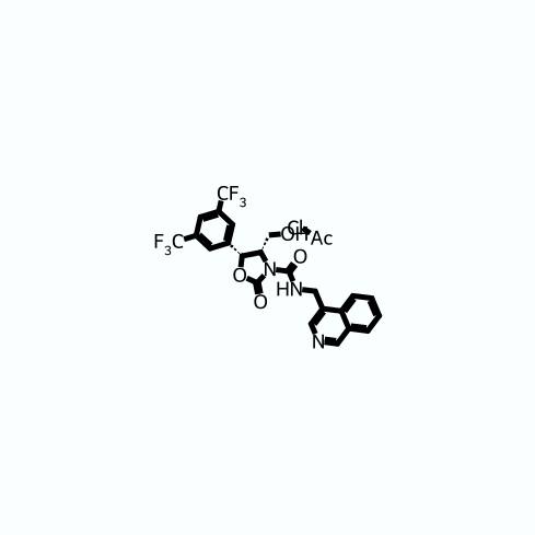 CC(=O)Cl.O=C(NCc1cncc2ccccc12)N1C(=O)O[C@H](c2cc(C(F)(F)F)cc(C(F)(F)F)c2)[C@@H]1CO